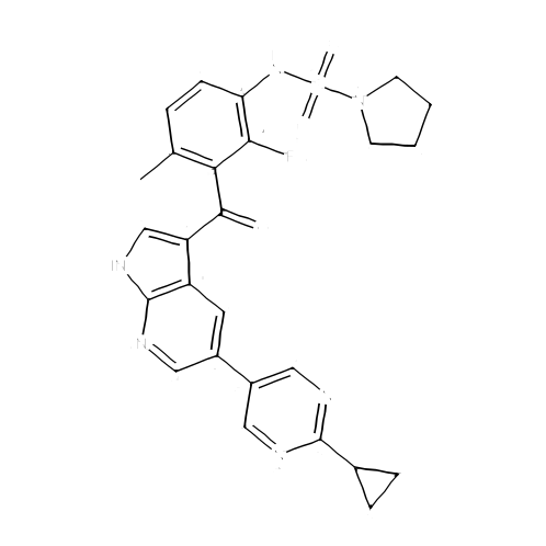 Cc1ccc(NS(=O)(=O)N2CCCC2)c(F)c1C(=O)c1c[nH]c2ncc(-c3cnc(C4CC4)nc3)cc12